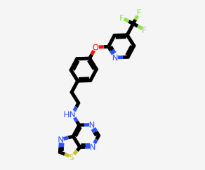 FC(F)(F)c1ccnc(Oc2ccc(CCNc3ncnc4scnc34)cc2)c1